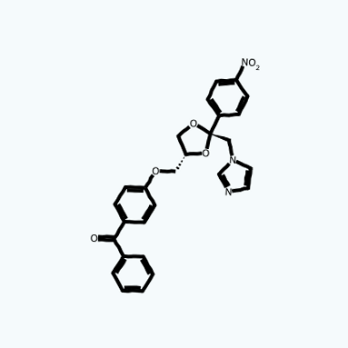 O=C(c1ccccc1)c1ccc(OC[C@@H]2CO[C@](Cn3ccnc3)(c3ccc([N+](=O)[O-])cc3)O2)cc1